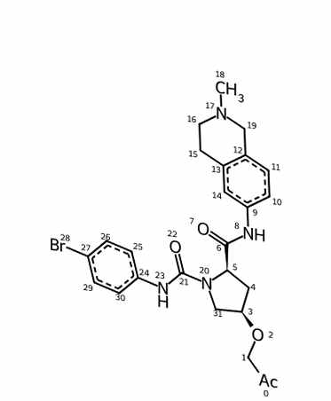 CC(=O)CO[C@@H]1C[C@H](C(=O)Nc2ccc3c(c2)CCN(C)C3)N(C(=O)Nc2ccc(Br)cc2)C1